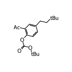 CC(=O)c1cc(CCC(C)(C)C)ccc1OC(=O)OC(C)(C)C